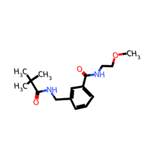 COCCNC(=O)c1cccc(CNC(=O)C(C)(C)C)c1